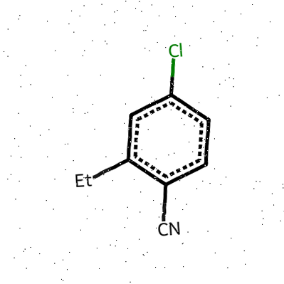 CCc1cc(Cl)ccc1C#N